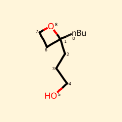 CCCCC1(CCCO)CCO1